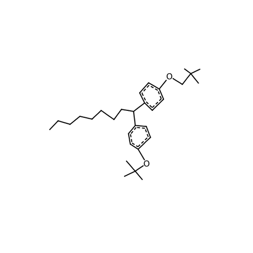 CCCCCCCCC(c1ccc(OCC(C)(C)C)cc1)c1ccc(OC(C)(C)C)cc1